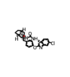 NC(=O)N[C@@H]1C[C@H]2CC[C@@H](C1)N2CCc1ccc(Oc2nc3cc(Cl)ccc3s2)cc1